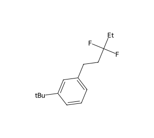 CCC(F)(F)CCc1cccc(C(C)(C)C)c1